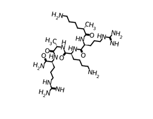 C[C@H](NC(=O)[C@H](CCCCN)NC(=O)[C@H](CCCNC(=N)N)NC(=O)[C@@H](C)CCCCN)C(=O)N[C@@H](CCCNC(=N)N)C(N)=O